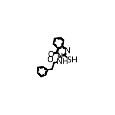 O=C(Cc1ccccc1)Nn1c(S)nc2ccccc2c1=O